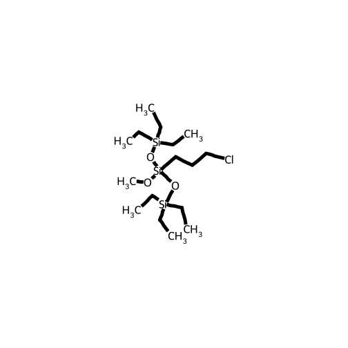 CC[Si](CC)(CC)O[Si](CCCCl)(OC)O[Si](CC)(CC)CC